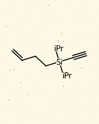 C#C[Si](CCC=C)(C(C)C)C(C)C